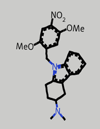 COc1cc([N+](=O)[O-])c(OC)cc1Cn1c2c(c3ccccc31)CC(N(C)C)CC2